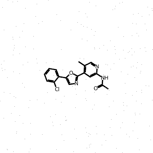 CC(=O)Nc1cc(-c2ncc(-c3ccccc3Cl)o2)c(C)cn1